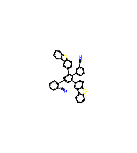 N#Cc1cccc(-c2c(-c3ccc4sc5ccccc5c4c3)cc(-c3ccccc3C#N)cc2-c2ccc3sc4ccccc4c3c2)c1